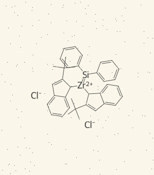 CC(C)(C)C1=Cc2ccccc2[CH]1[Zr+2]([CH]1C(C(C)(C)C)=Cc2ccccc21)=[Si](c1ccccc1)c1ccccc1.[Cl-].[Cl-]